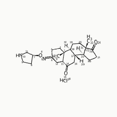 C[C@]12CCC(=NO[C@H]3CCNC3)CC1C(=O)C[C@@H]1[C@@H]2CC[C@]2(C)C(=O)CC[C@@H]12.Cl